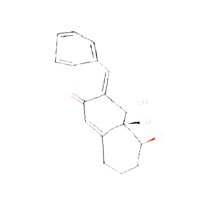 C[C@H]1C(=Cc2ccccc2)C(=O)C=C2CCC[C@H](O)[C@]21C